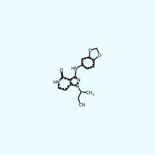 C[C@@H](CC#N)n1nc(Nc2ccc3c(c2)OCO3)c2c(=O)[nH]ccc21